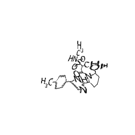 CNS(=O)(=O)C(C)C(=O)N1C(O)CCCC1c1ncc(-c2ccc(C)cc2)[nH]1